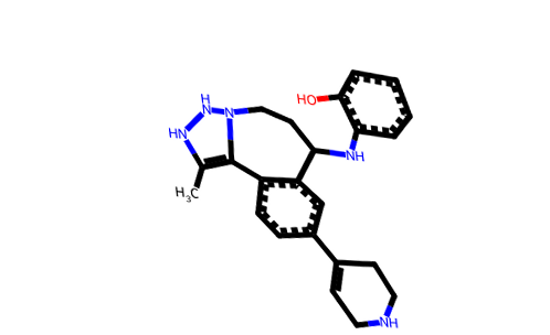 CC1=C2c3ccc(C4=CCNCC4)cc3C(Nc3ccccc3O)CCN2NN1